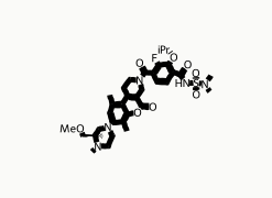 COC[C@H]1CN(c2cc(C)c3c4c(c(=O)oc3c2C)CN(C(=O)c2ccc(C(=O)NS(=O)(=O)N(C)C)c(OC(C)C)c2F)CC4)CCN1C